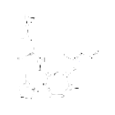 C=N/C=C(/C)CC1C=C(CNC(=O)COC2CC2)C([C@@H]2CCCN2)=CC[C@@H]1C